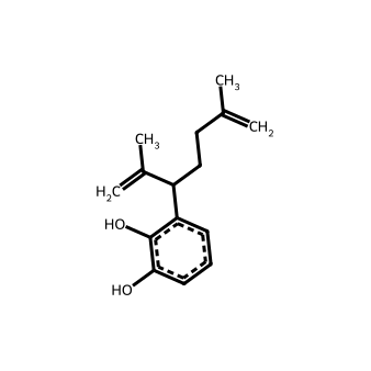 C=C(C)CCC(C(=C)C)c1cccc(O)c1O